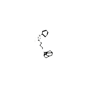 O=S(=O)(NCCCOC1C2CC3CC(C2)CC1C3)Nc1ccccc1